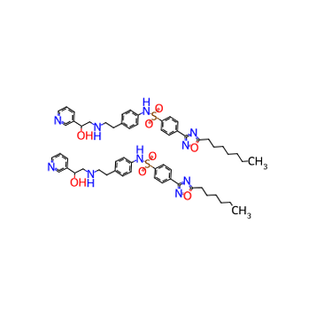 CCCCCCCc1nc(-c2ccc(S(=O)(=O)Nc3ccc(CCNCC(O)c4cccnc4)cc3)cc2)no1.CCCCCCc1nc(-c2ccc(S(=O)(=O)Nc3ccc(CCNCC(O)c4cccnc4)cc3)cc2)no1